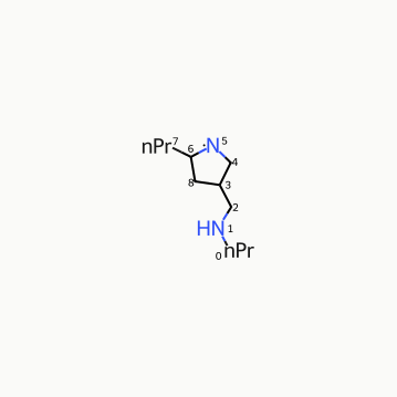 CCCNCC1C[N]C(CCC)C1